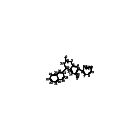 CN1Cc2cc(-c3cccnn3)c(F)cc2C(c2ccc3ccccc3c2)C1